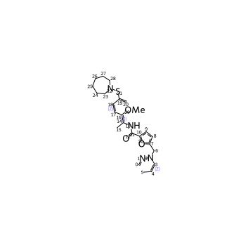 C=NN(/C=C\C)Cc1ccc(C(=O)N/C(C)=C(/C=C\C(=C)SN2CCCCCC2)OC)o1